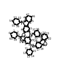 c1ccc(-c2nc3cc(N(c4ccccc4)c4ccc5oc6ccccc6c5c4)cc(N(c4ccccc4)c4ccc5c(c4)c4ccccc4n5-c4ccccc4)c3o2)cc1